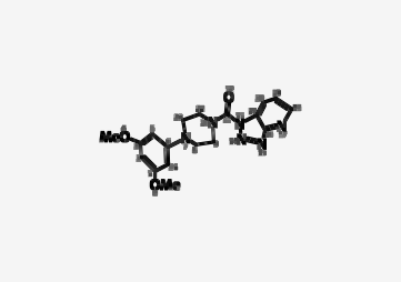 COc1cc(OC)cc(N2CCN(C(=O)n3nnc4ncccc43)CC2)c1